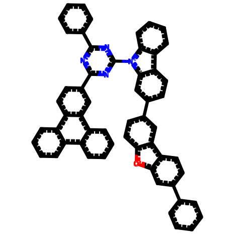 c1ccc(-c2ccc3c(c2)oc2ccc(-c4ccc5c6ccccc6n(-c6nc(-c7ccccc7)nc(-c7ccc8c9ccccc9c9ccccc9c8c7)n6)c5c4)cc23)cc1